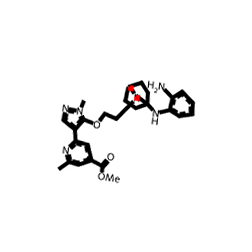 COC(=O)c1cc(C)nc(-c2cnn(C)c2OCCN2CC3CCC(Nc4ccccc4N)(CC3)C2)c1